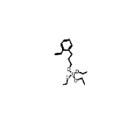 C=Cc1ccccc1CCCO[Si](OCC)(OCC)OCC